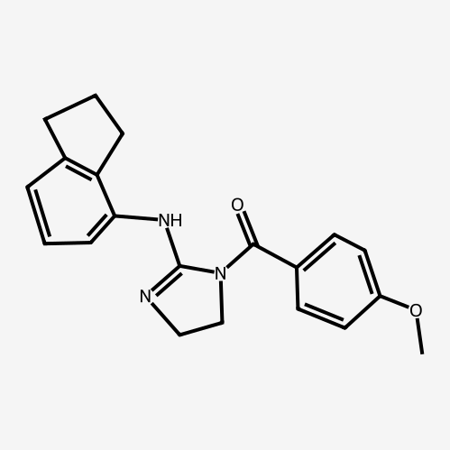 COc1ccc(C(=O)N2CCN=C2Nc2cccc3c2CCC3)cc1